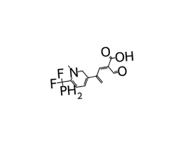 C=C(/C=C(\C=O)C(=O)O)C1=CC=C(C(F)(F)P)N(C)C1